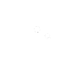 Cc1ccccc1C(OCCN(C)C)c1ccnn1C